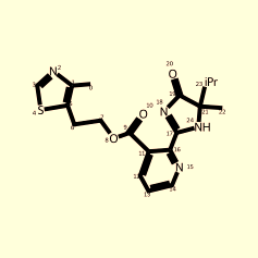 Cc1ncsc1CCOC(=O)c1cccnc1C1=NC(=O)C(C)(C(C)C)N1